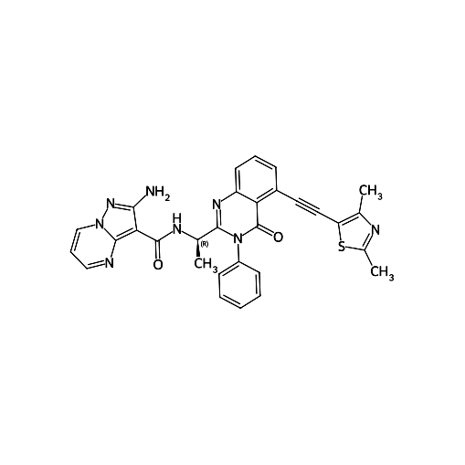 Cc1nc(C)c(C#Cc2cccc3nc([C@@H](C)NC(=O)c4c(N)nn5cccnc45)n(-c4ccccc4)c(=O)c23)s1